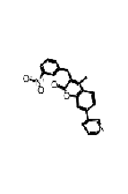 Cc1c(Cc2cccc([N+](=O)[O-])c2)c(=O)oc2cc(-c3cccnc3)ccc12